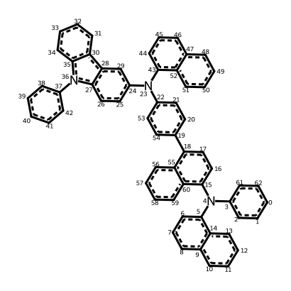 c1ccc(N(c2cccc3ccccc23)c2ccc(-c3ccc(N(c4ccc5c(c4)c4ccccc4n5-c4ccccc4)c4cccc5ccccc45)cc3)c3ccccc23)cc1